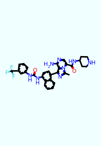 Cc1nc(-c2ccc(NC(=O)Nc3cccc(C(F)(F)F)c3)c3ccccc23)c2c(N)ncc(C(=O)NC3CCNCC3)n12